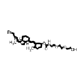 C=C1CC[C@H](OC(=O)NCCOCCOCCO)C/C1=C/C=C1\CCC[C@]2(C)[C@@H]([C@H](C)CCCC(C)C)CC[C@@H]12